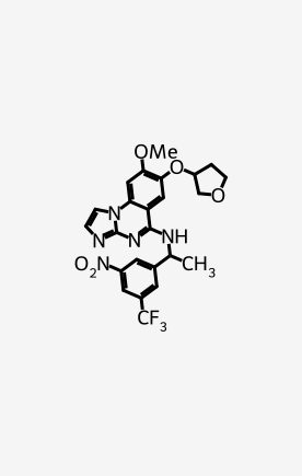 COc1cc2c(cc1OC1CCOC1)c(NC(C)c1cc([N+](=O)[O-])cc(C(F)(F)F)c1)nc1nccn12